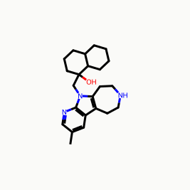 Cc1cnc2c(c1)c1c(n2CC2(O)CCCC3CCCCC32)CCNCC1